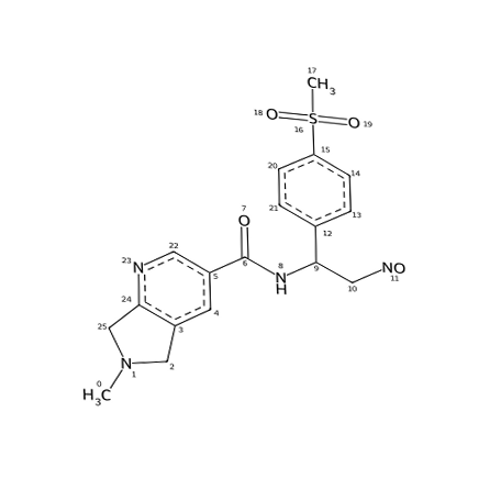 CN1Cc2cc(C(=O)NC(CN=O)c3ccc(S(C)(=O)=O)cc3)cnc2C1